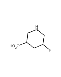 O=C(O)C1CNCC(F)C1